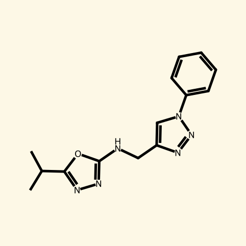 CC(C)c1nnc(NCc2cn(-c3ccccc3)nn2)o1